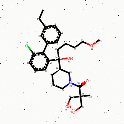 CCc1cccc(-c2c(Cl)cccc2[C@](O)(CCCCOC)[C@@H]2CCCN(C(=O)C(C)(CO)CO)C2)c1